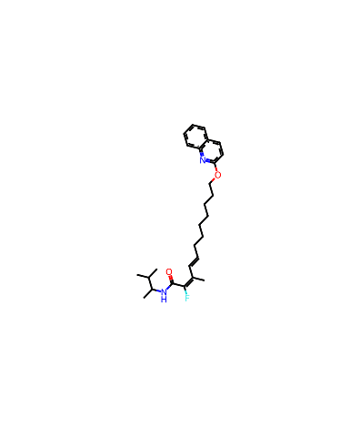 CC(/C=C/CCCCCCCOc1ccc2ccccc2n1)=C(\F)C(=O)NC(C)C(C)C